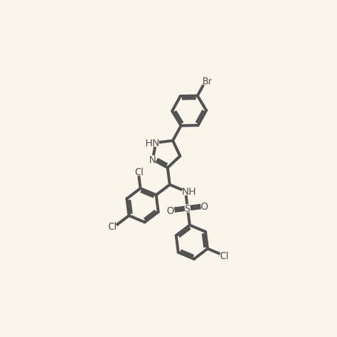 O=S(=O)(NC(C1=NNC(c2ccc(Br)cc2)C1)c1ccc(Cl)cc1Cl)c1cccc(Cl)c1